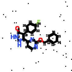 O=c1[nH][nH]c(-c2ccnc(OCc3ccccc3)n2)c1-c1ccc(F)cc1